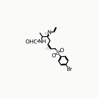 C=C/N=C(\C/C=C\CS(=O)(=O)c1ccc(Br)cc1)C(C)NC=O